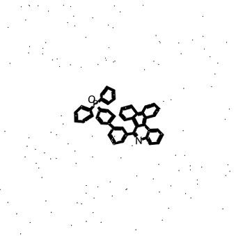 O=P(c1ccccc1)(c1ccccc1)c1ccc(-c2cccc(-c3nc4ccccc4c4c5ccccc5c5ccccc5c34)c2)cc1